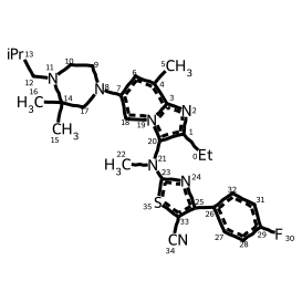 CCc1nc2c(C)cc(N3CCN(CC(C)C)C(C)(C)C3)cn2c1N(C)c1nc(-c2ccc(F)cc2)c(C#N)s1